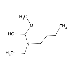 CCCCN(CC)C(O)OC